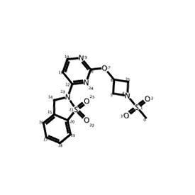 CS(=O)(=O)N1CC(Oc2nccc(N3Cc4ccccc4S3(=O)=O)n2)C1